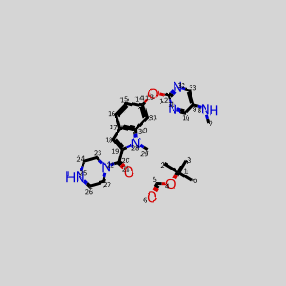 CC(C)(C)OC=O.CNc1cnc(Oc2ccc3cc(C(=O)N4CCNCC4)n(C)c3c2)nc1